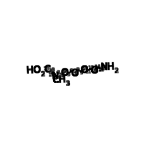 CN(CCOCCOCCOCCOCCN)CCC(=O)O